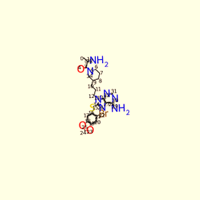 C[C@@H](N)C(=O)N1CCCC(CCCn2c(Sc3cc4c(cc3Br)OCO4)nc3c(N)ncnc32)C1